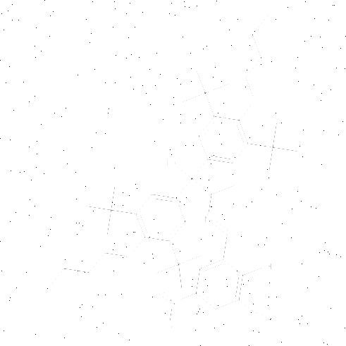 CCCCOc1c(C(C)(C)C)cc(C(O)(c2cc(C(C)(C)C)c(OCCCC)c(C(C)(C)C)c2)C(C)N=Cc2cc([N+](=O)[O-])cc(Br)c2O)cc1C(C)(C)C